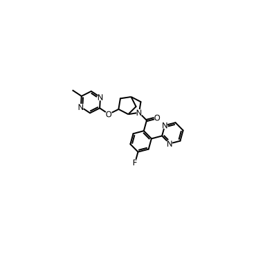 Cc1cnc(OC2CC3CC2N(C(=O)c2ccc(F)cc2-c2ncccn2)C3)cn1